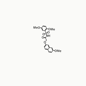 COc1ccc(OC)c(S(=O)(=O)NC(=O)COc2ccc3ccc(OC)cc3c2)c1